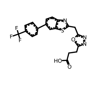 O=C(O)CCc1nnc(Cc2nc3ccc(-c4ccc(C(F)(F)F)cc4)cc3s2)o1